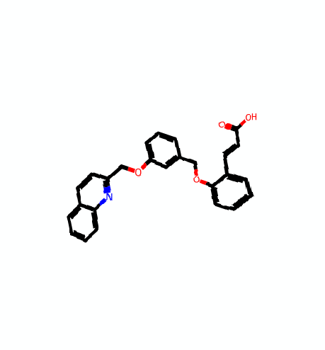 O=C(O)C=Cc1ccccc1OCc1cccc(OCc2ccc3ccccc3n2)c1